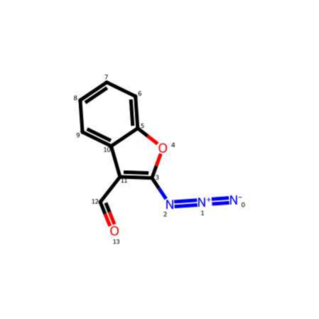 [N-]=[N+]=Nc1oc2ccccc2c1C=O